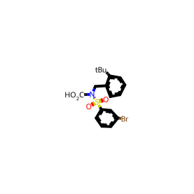 CC(C)(C)c1ccccc1CN(C(=O)O)S(=O)(=O)c1cccc(Br)c1